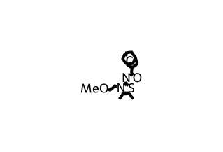 COCCn1c(C)c(C)s/c1=N\C(=O)C12CC3CC(CC1C3)C2